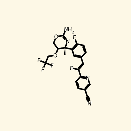 C[C@]1(c2cc(/C=C(\F)c3ccc(C#N)cn3)ccc2F)N=C(N)OCC1OCC(F)(F)F